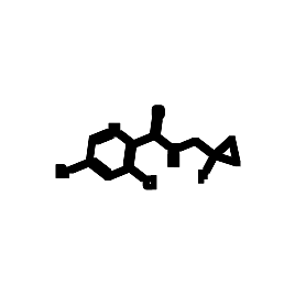 O=C(NCC1(F)CC1)c1ncc(Br)cc1Cl